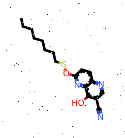 CCCCCCCCSOc1ccc2ncc(C#N)c(O)c2n1